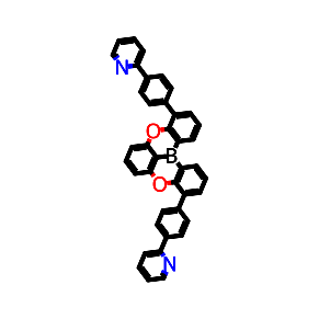 c1ccc(-c2ccc(-c3cccc4c3Oc3cccc5c3B4c3cccc(-c4ccc(-c6ccccn6)cc4)c3O5)cc2)nc1